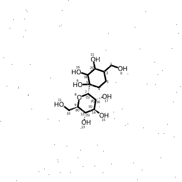 OCC1C[CH]C(O)([C@H]2O[C@H](CO)[C@@H](O)[C@H](O)[C@H]2O)C(O)C1O